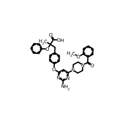 COc1ccccc1C(=O)N1CCN(c2cc(Oc3ccc(CC(C)(Oc4ccccc4)C(=O)O)cc3)nc(N)n2)CC1